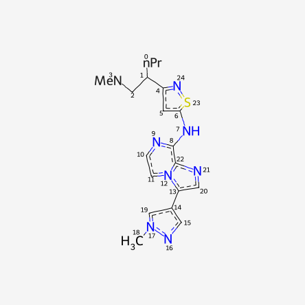 CCCC(CNC)c1cc(Nc2nccn3c(-c4cnn(C)c4)cnc23)sn1